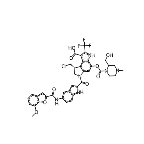 COc1cccc2cc(C(=O)Nc3ccc4[nH]c(C(=O)N5C[C@@H](CCl)c6c5cc(OC(=O)N5CCN(C)CC5CO)c5[nH]c(C(F)(F)F)c(C(=O)O)c65)cc4c3)oc12